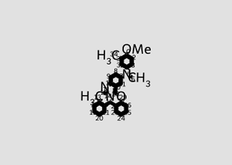 COc1ccc(N(C)c2ccc3nc(C)n(C(c4ccccc4)c4ccccc4)c(=O)c3c2)cc1C